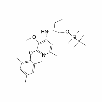 CCC(CO[Si](C)(C)C(C)(C)C)Nc1cc(C)nc(Oc2c(C)cc(C)cc2C)c1OC